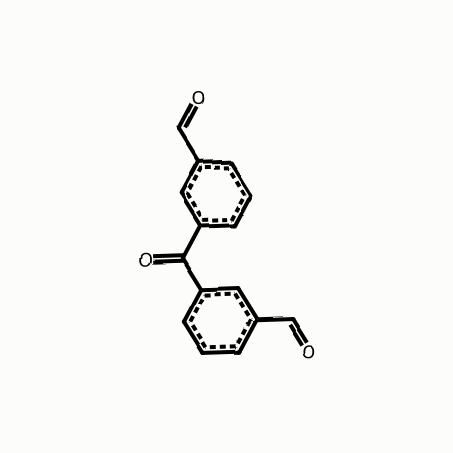 O=Cc1cccc(C(=O)c2cccc(C=O)c2)c1